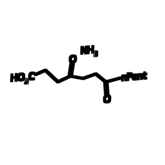 CCCCCC(=O)CCC(=O)CCC(=O)O.N